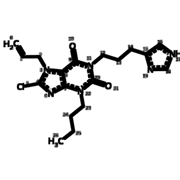 C=CCn1c(Cl)nc2c1c(=O)n(CCCc1c[nH]cn1)c(=O)n2CCCC